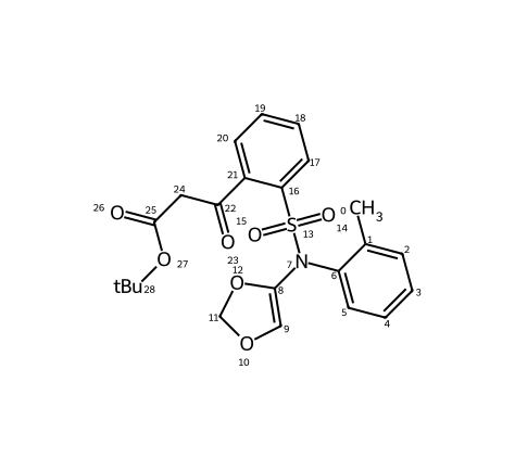 Cc1ccccc1N(C1=COCO1)S(=O)(=O)c1ccccc1C(=O)CC(=O)OC(C)(C)C